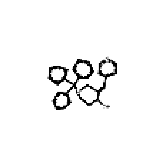 OC1CCN(C(c2ccccc2)(c2ccccc2)c2ccccc2)C/C1=C\c1ccncc1